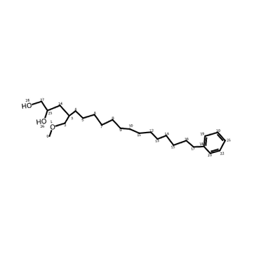 COCC(CCCCCCCCCCCCCCc1ccccc1)CC(O)CO